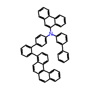 c1ccc(-c2cccc(N(c3ccc(-c4ccccc4-c4cccc5c4ccc4ccc6ccccc6c45)cc3)c3cc4ccccc4c4ccccc34)c2)cc1